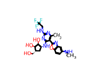 CNc1ccc2oc(-c3c(C)nc(NCC(F)(F)F)nc3N[C@@H]3C[C@H](CO)[C@@H](O)[C@H]3O)nc2c1